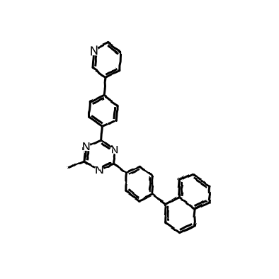 Cc1nc(-c2ccc(-c3cccnc3)cc2)nc(-c2ccc(-c3cccc4ccccc34)cc2)n1